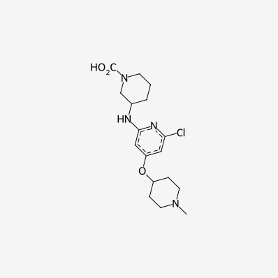 CN1CCC(Oc2cc(Cl)nc(NC3CCCN(C(=O)O)C3)c2)CC1